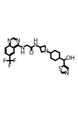 O=C(CNc1ncnc2ccc(C(F)(F)F)cc12)NC1CN(C2CCC(C(O)c3cncs3)CC2)C1